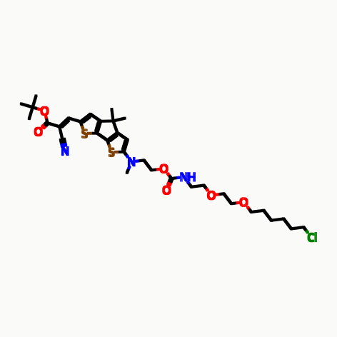 CN(CCOC(=O)NCCOCCOCCCCCCCl)c1cc2c(s1)-c1sc(/C=C(\C#N)C(=O)OC(C)(C)C)cc1C2(C)C